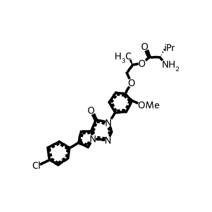 COc1cc(-n2cnn3cc(-c4ccc(Cl)cc4)cc3c2=O)ccc1OC[C@@H](C)OC(=O)[C@@H](N)C(C)C